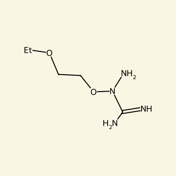 CCOCCON(N)C(=N)N